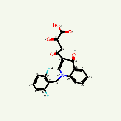 O=C(O)C(=O)CC(=O)c1cn(Cc2c(F)cccc2F)c2ccccc2c1=O